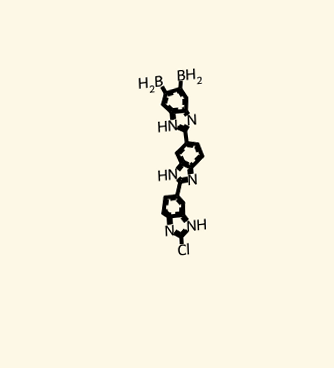 Bc1cc2nc(-c3ccc4nc(-c5ccc6nc(Cl)[nH]c6c5)[nH]c4c3)[nH]c2cc1B